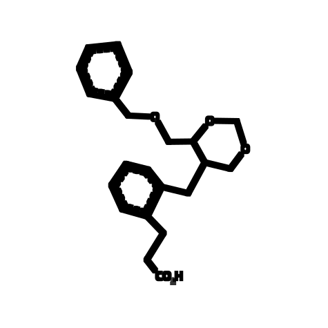 O=C(O)CCc1ccccc1CC1COCOC1COCc1ccccc1